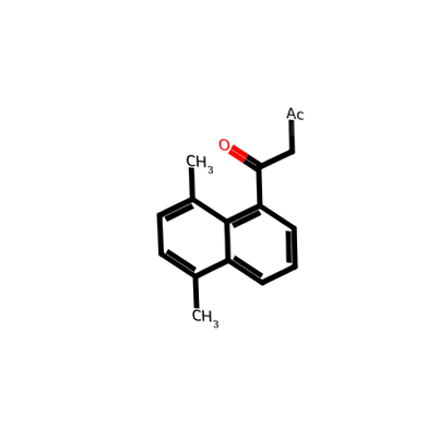 CC(=O)CC(=O)c1cccc2c(C)ccc(C)c12